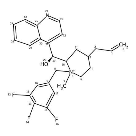 C=CCC1CC[N+](C)(Cc2cc(F)c(F)c(F)c2)C([C@@H](O)c2ccnc3ccccc23)C1